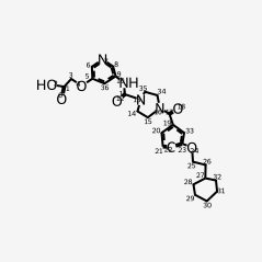 O=C(O)COc1cncc(NC(=O)N2CCN(C(=O)c3cccc(OCCC4CCCCC4)c3)CC2)c1